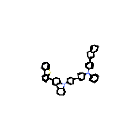 c1ccc(N(c2ccc(-c3ccc(N4c5ccc(-c6cccc7c6sc6ccccc67)cc5C5CCCCC54)cc3)cc2)c2ccc(-c3ccc4ccccc4c3)cc2)cc1